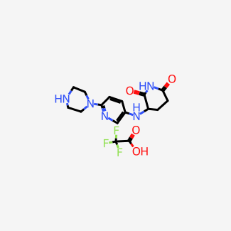 O=C(O)C(F)(F)F.O=C1CCC(Nc2ccc(N3CCNCC3)nc2)C(=O)N1